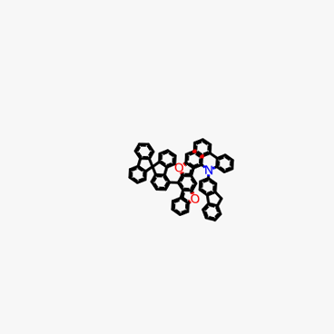 c1ccc(-c2ccccc2N(c2ccc3c(c2)Cc2ccccc2-3)c2cccc3oc4c(-c5cccc6c5-c5ccccc5C65c6ccccc6-c6ccccc65)c5c(cc4c23)oc2ccccc25)cc1